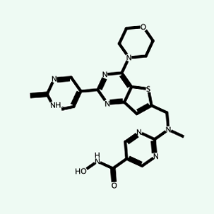 C=C(N)/N=C\C(=C/C)c1nc(N2CCOCC2)c2sc(CN(C)c3ncc(C(=O)NO)cn3)cc2n1